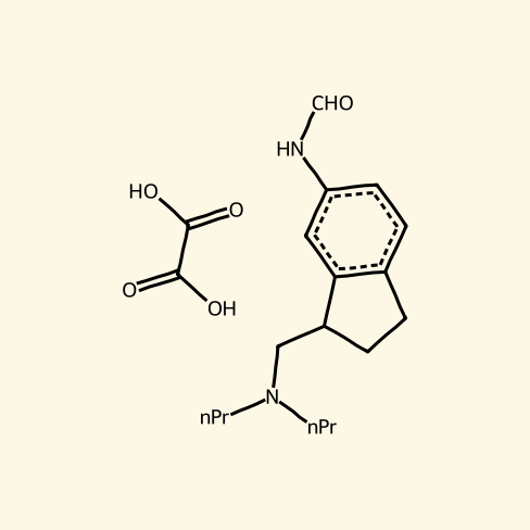 CCCN(CCC)CC1CCc2ccc(NC=O)cc21.O=C(O)C(=O)O